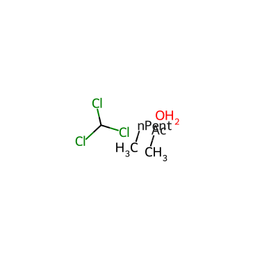 CC(C)=O.CCCCCC.ClC(Cl)Cl.O